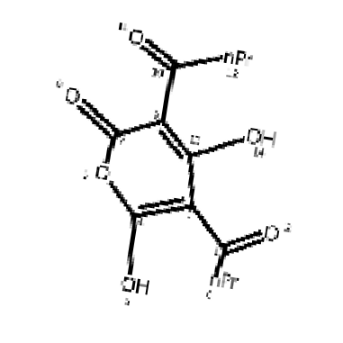 CCCC(=O)c1c(O)oc(=O)c(C(=O)CCC)c1O